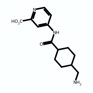 NCC1CCC(C(=O)Nc2ccnc(C(=O)O)c2)CC1